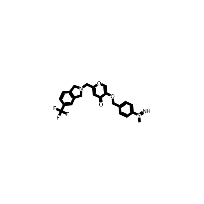 CS(=N)c1ccc(COc2coc(CN3Cc4ccc(C(F)(F)F)cc4C3)cc2=O)cc1